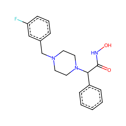 O=C(NO)C(c1ccccc1)N1CCN(Cc2cccc(F)c2)CC1